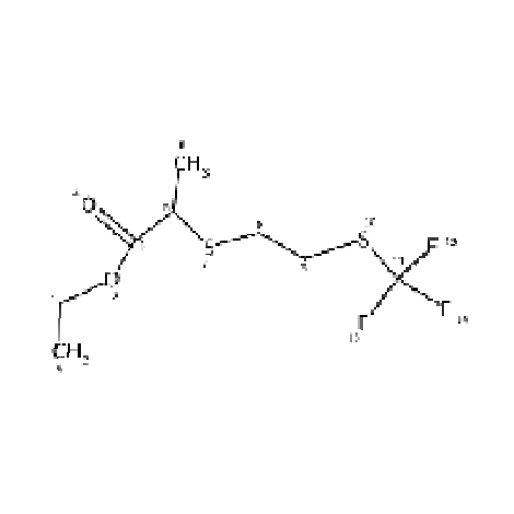 CCOC(=O)C(C)SCCSC(F)(F)F